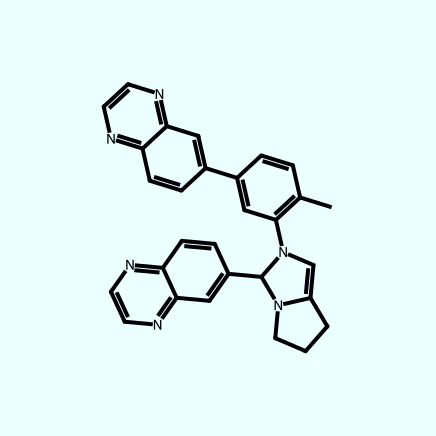 Cc1ccc(-c2ccc3nccnc3c2)cc1N1C=C2CCCN2C1c1ccc2nccnc2c1